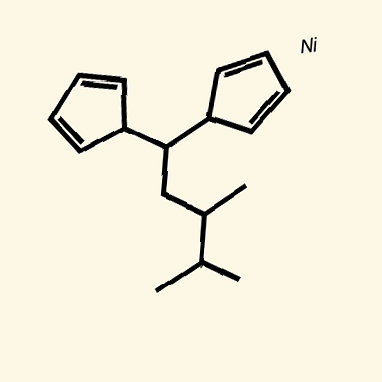 C[C](C)C(C)CC(C1C=CC=C1)C1C=CC=C1.[Ni]